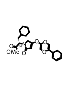 COC(=O)[C@H](CC1CCCCC1)N1CC(OC2=COC(C3=CC=CCC3)=CO2)=CC1=O